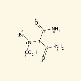 CC(C)(C)N(C(=O)O)C(C(N)=O)C(N)=O